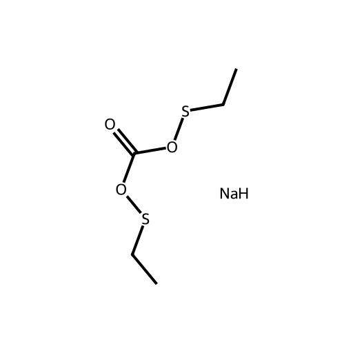 CCSOC(=O)OSCC.[NaH]